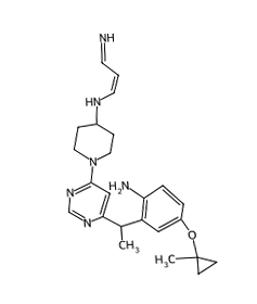 CC(c1cc(N2CCC(N/C=C\C=N)CC2)ncn1)c1cc(OC2(C)CC2)ccc1N